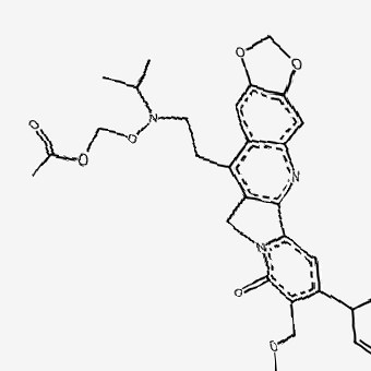 COCc1c(C(O)C=O)cc2n(c1=O)Cc1c-2nc2cc3c(cc2c1CCN(OCOC(C)=O)C(C)C)OCO3